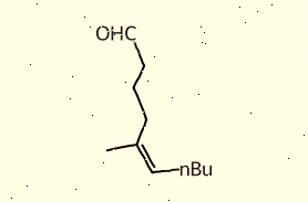 CCCCC=C(C)CCCC=O